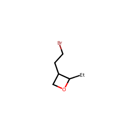 CCC1OCC1CCBr